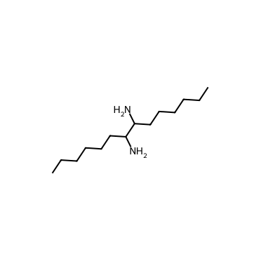 CCCCCCC(N)C(N)CCCCCC